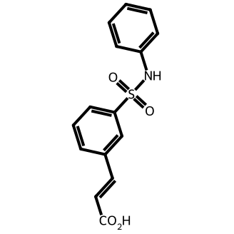 O=C(O)/C=C/c1cccc(S(=O)(=O)Nc2ccccc2)c1